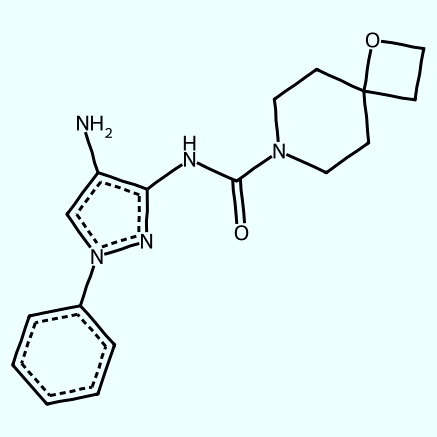 Nc1cn(-c2ccccc2)nc1NC(=O)N1CCC2(CCO2)CC1